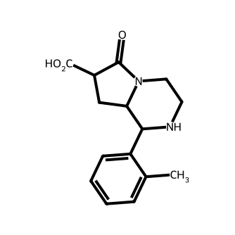 Cc1ccccc1C1NCCN2C(=O)C(C(=O)O)CC12